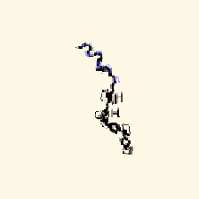 CC/C=C\C/C=C\C/C=C\C/C=C\C/C=C\C/C=C\CCC(=O)NCCCNC(=O)C(C)(C)Oc1ccc(C(=O)c2ccc(Cl)cc2)cc1